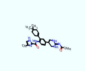 [C-]#[N+]c1c[nH]c(C(=O)Nc2ccc(C3CNC(=NC(=O)OC)NC3)cc2C2=CCC(C)(C)CC2)n1